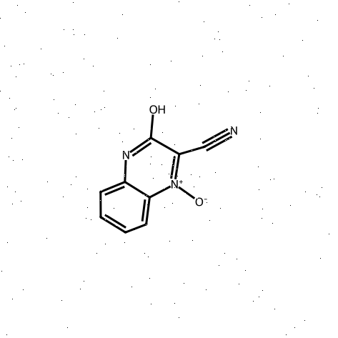 N#Cc1c(O)nc2ccccc2[n+]1[O-]